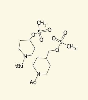 CC(=O)N1CCC(COS(C)(=O)=O)CC1.CC(C)(C)N1CCC(OS(C)(=O)=O)CC1